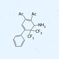 CC(=O)C1=C(C(C)=O)C(N)C(C(F)(F)F)(C(F)(F)F)C(c2ccccc2)=C1